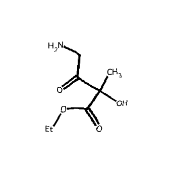 CCOC(=O)C(C)(O)C(=O)CN